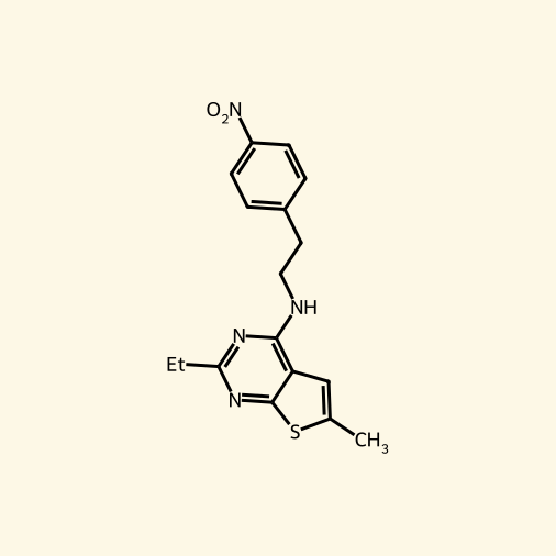 CCc1nc(NCCc2ccc([N+](=O)[O-])cc2)c2cc(C)sc2n1